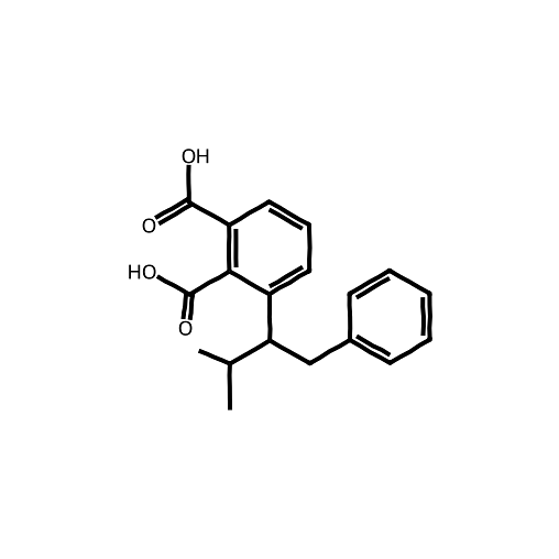 CC(C)C(Cc1ccccc1)c1cccc(C(=O)O)c1C(=O)O